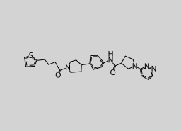 O=C(Nc1ccc(C2CCN(C(=O)CCCc3cccs3)CC2)cc1)C1CCN(c2cccnn2)C1